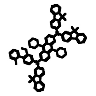 CCc1cc(N(c2ccc3c(c2)C(C)(C)c2ccccc2-3)c2ccc3c(C4CCCCC4)c4cc(N(c5ccc6c(c5)C(C)(C)c5ccccc5-6)c5ccc6c(c5)C(C)(C)c5ccccc5-6)ccc4c(C4CCCCC4)c3c2)ccc1-c1ccccc1C